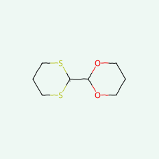 C1COC([C]2SCCCS2)OC1